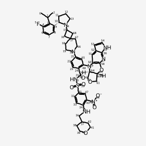 CC(C)c1c(F)cccc1[C@@H]1CCCN1C1CC2(CCN(c3ccc(C(=O)NS(=O)(=O)c4ccc(NCC5CCOCC5)c([N+](=O)[O-])c4)c(N4c5cc6cc[nH]c6nc5O[C@@H]5COC[C@H]54)c3)CC2)C1